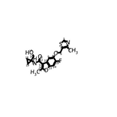 Cc1ncsc1COc1cc2c(C(=O)NC3(CO)CC3)c(C)oc2cc1F